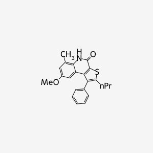 CCCc1sc2c(=O)[nH]c3c(C)cc(OC)cc3c2c1-c1ccccc1